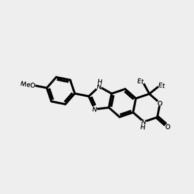 CCC1(CC)OC(=O)Nc2cc3nc(-c4ccc(OC)cc4)[nH]c3cc21